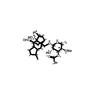 CO[C@H]1[C@@H](OC(=O)C(C)C)[C@H](O)[C@H](OCC23CC4C(C)CCC4C4(C=O)CC2C=C(C(C)C)C43C(=O)O)O[C@@H]1C